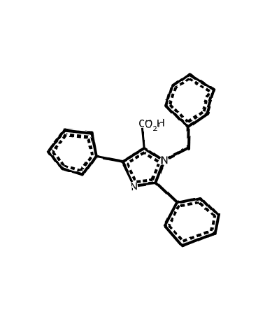 O=C(O)c1c(-c2ccccc2)nc(-c2ccccc2)n1Cc1ccccc1